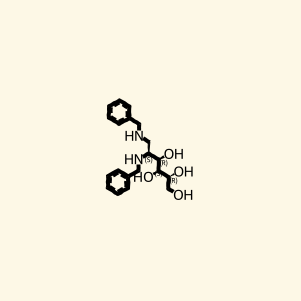 OC[C@@H](O)[C@@H](O)[C@H](O)[C@H](CNCc1ccccc1)NCc1ccccc1